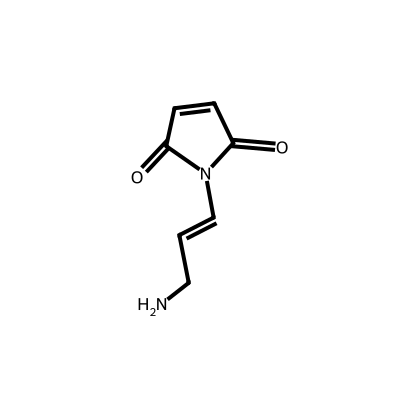 NCC=CN1C(=O)C=CC1=O